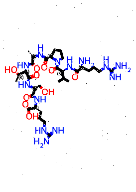 CC(C)[C@H](NC(=O)[C@@H](N)CCCNC(=N)N)C(=O)N1CCC[C@H]1C(=O)N[C@@H](C)C(=O)N[C@H](C(=O)N[C@@H](CO)C(=O)N[C@@H](CCCNC(=N)N)C(=O)O)[C@@H](C)O